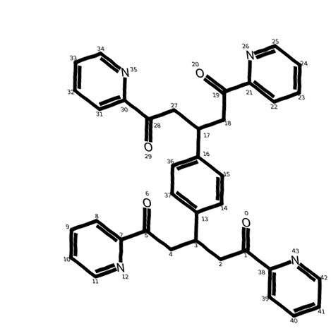 O=C(CC(CC(=O)c1ccccn1)c1ccc(C(CC(=O)c2ccccn2)CC(=O)c2ccccn2)cc1)c1ccccn1